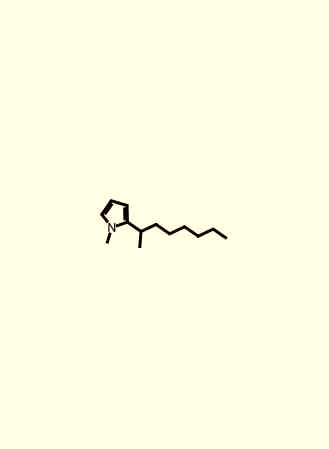 CCCCCCC(C)c1cccn1C